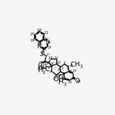 C[C@H]1CC2C([C@@H](O)CC3(C)C2CC[C@]3(O)C(=O)CSc2cnc3ccccc3n2)C2(C)C=CC(=O)C=C12